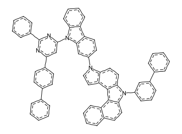 c1ccc(-c2ccc(-c3cc(-n4c5ccccc5c5ccc(-n6ccc7c8c9c%10ccccc%10ccc9n(-c9cccc(-c%10ccccc%10)c9)c8ccc76)cc54)nc(-c4ccccc4)n3)cc2)cc1